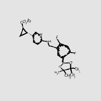 CCOC(=O)[C@@H]1C[C@H]1c1ccc(NCc2cc(B3OC(C)(C)C(C)(C)O3)c(F)cc2F)nc1